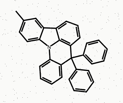 Cc1ccc2c(c1)c1cccc3c1n2-c1ccccc1C3(c1ccccc1)c1ccccc1